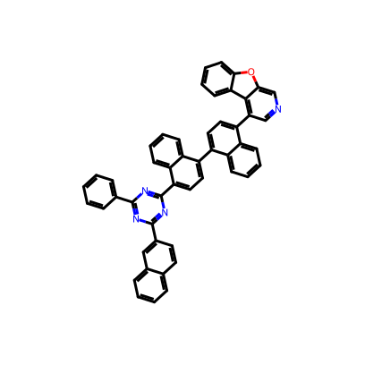 c1ccc(-c2nc(-c3ccc4ccccc4c3)nc(-c3ccc(-c4ccc(-c5cncc6oc7ccccc7c56)c5ccccc45)c4ccccc34)n2)cc1